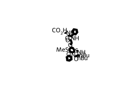 CCCCC1(CCCC)NSC2=C(C(=O)C(SC)C(OCC(=O)N[C@@H](C(=O)NCC(=O)O)c3ccccc3)=C2)N(c2ccccc2)C1=O